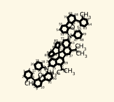 Cc1ccccc1-c1cccc2c1oc1c(N(c3ccccc3)c3ccc4c5c(cc(C(C)C)c4c3)-c3cc(C(C)C)c4cc(N(c6ccccc6)c6cccc7c6oc6c(-c8ccccc8C)cccc67)ccc4c3C53c4ccccc4-c4ccccc43)cccc12